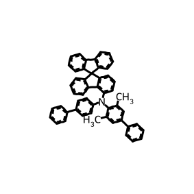 Cc1cc(-c2ccccc2)cc(C)c1N(c1ccc(-c2ccccc2)cc1)c1cccc2c1-c1ccccc1C21c2ccccc2-c2ccccc21